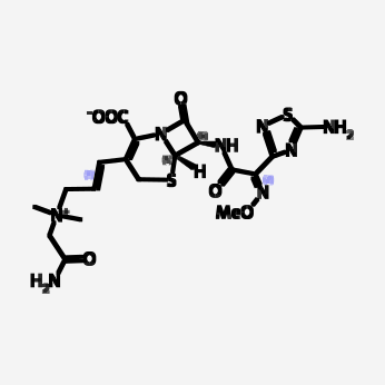 CO/N=C(\C(=O)N[C@@H]1C(=O)N2C(C(=O)[O-])=C(/C=C/C[N+](C)(C)CC(N)=O)CS[C@@H]12)c1nsc(N)n1